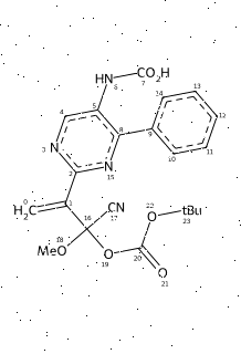 C=C(c1ncc(NC(=O)O)c(-c2ccccc2)n1)C(C#N)(OC)OC(=O)OC(C)(C)C